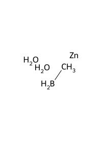 BC.O.O.[Zn]